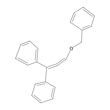 C(=COCc1ccccc1)=C(c1ccccc1)c1ccccc1